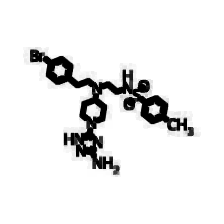 Cc1ccc(S(=O)(=O)NCCN(CCc2ccc(Br)cc2)C2CCN(c3nc(N)n[nH]3)CC2)cc1